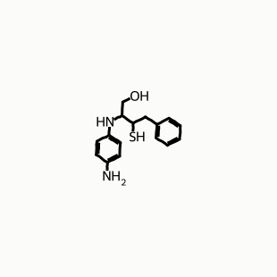 Nc1ccc(NC(CO)C(S)Cc2ccccc2)cc1